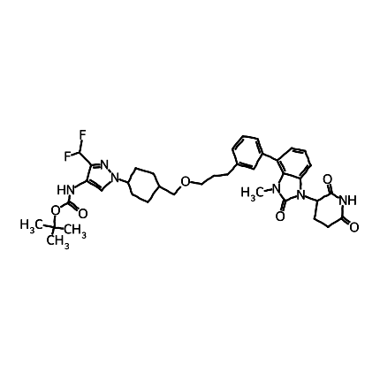 Cn1c(=O)n(C2CCC(=O)NC2=O)c2cccc(-c3cccc(CCCOCC4CCC(n5cc(NC(=O)OC(C)(C)C)c(C(F)F)n5)CC4)c3)c21